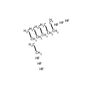 CC.CC.CC.CC.CC.CC.F.F.F.F.F.F